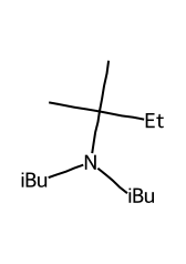 CCC(C)N(C(C)CC)C(C)(C)CC